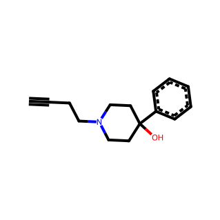 C#CCCN1CCC(O)(c2ccccc2)CC1